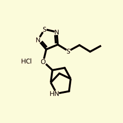 CCCSc1nsnc1OC1CC2CNC1C2.Cl